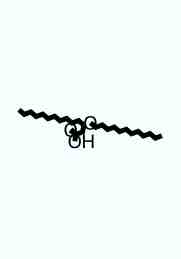 CCCCCCCCCCCCOC(CCCCCCCCCCC)CC(=O)O